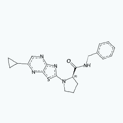 O=C(NCc1ccccc1)[C@H]1CCCN1c1nc2ncc(C3CC3)nc2s1